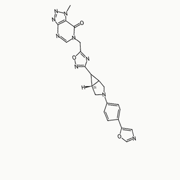 Cn1nnc2ncn(Cc3nc(C4C5CN(c6ccc(-c7cnco7)cc6)C[C@@H]54)no3)c(=O)c21